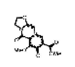 COC(=O)c1cn2c(c(OC)c1=O)C(=O)N1CCOC13CCCC23